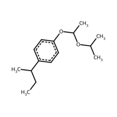 CCC(C)c1ccc(OC(C)OC(C)C)cc1